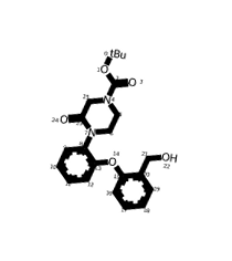 CC(C)(C)OC(=O)N1CCN(c2ccccc2Oc2ccccc2CO)C(=O)C1